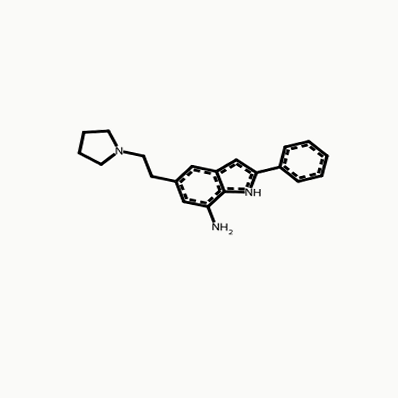 Nc1cc(CCN2CCCC2)cc2cc(-c3ccccc3)[nH]c12